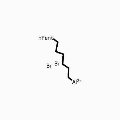 CCCCCCCCCC[CH2][Al+2].[Br-].[Br-]